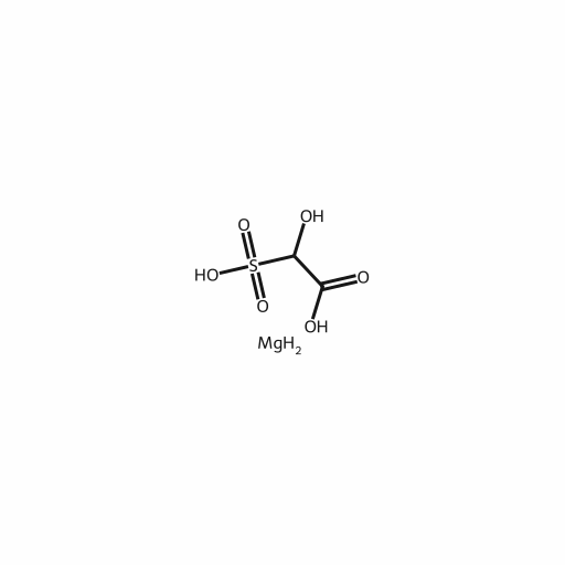 O=C(O)C(O)S(=O)(=O)O.[MgH2]